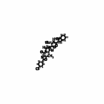 Cc1oc(-c2ccc(Cl)cc2)nc1C(=O)N1C[C@@H]2C[C@H]1CN2C(=O)[C@@H](NC(=O)c1cc2ccccc2[nH]1)C(C)(C)C